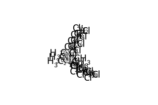 CCCCCC.CCCCCC.CCCCCC.ClC(Cl)Cl.ClC(Cl)Cl.ClC(Cl)Cl.ClC(Cl)Cl.ClC(Cl)Cl.ClC(Cl)Cl.ClC(Cl)Cl